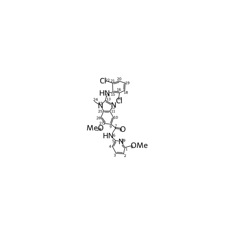 COc1cccc(NC(=O)c2cc3nc(Nc4c(Cl)cccc4Cl)n(C)c3cc2OC)n1